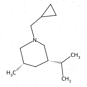 CC(C)[C@@H]1C[C@H](C)CN(CC2CC2)C1